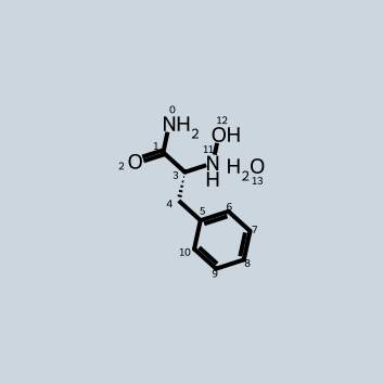 NC(=O)[C@@H](Cc1ccccc1)NO.O